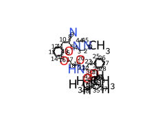 CN1CCN(C(=O)C(C#N)=Cc2cccc(OCCC(=O)N[C@@H](Cc3ccccc3)B3O[C@@H]4C[C@@H]5C[C@@H](C5(C)C)[C@]4(C)O3)c2)CC1